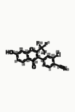 N#Cc1ccc(-c2c(C(F)(F)F)oc3cc(O)ccc3c2=O)cc1Cl